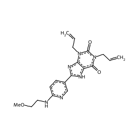 C=CCn1c(=O)c2[nH]c(-c3ccc(NCCOC)nc3)nc2n(CC=C)c1=O